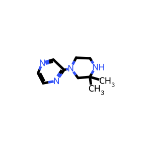 CC1(C)CN(c2cnccn2)CCN1